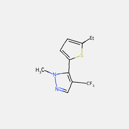 CCc1ccc(-c2c(C(F)(F)F)cnn2C)s1